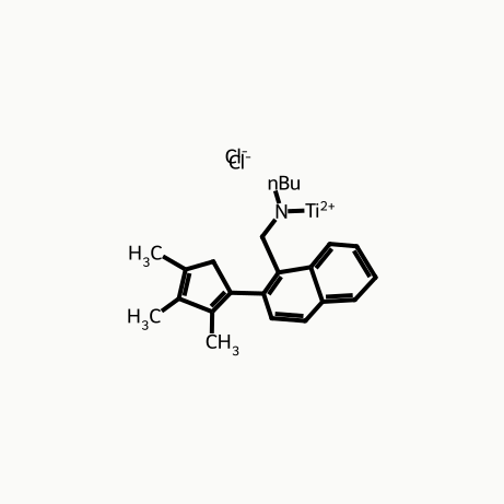 CCCC[N]([Ti+2])Cc1c(C2=C(C)C(C)=C(C)C2)ccc2ccccc12.[Cl-].[Cl-]